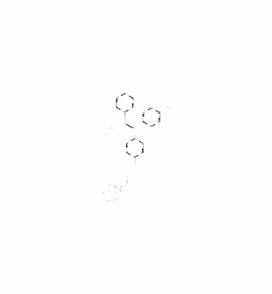 CCC(=C(c1ccc(I)cc1)c1ccc(OCCN2CCCC2)cc1)c1ccccc1